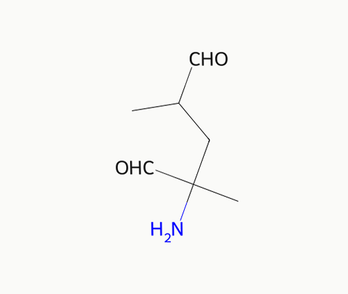 CC(C=O)CC(C)(N)C=O